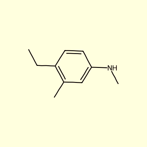 CCc1ccc(NC)cc1C